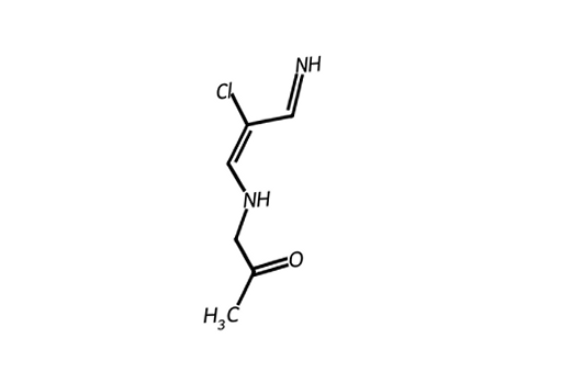 CC(=O)CN/C=C(/Cl)C=N